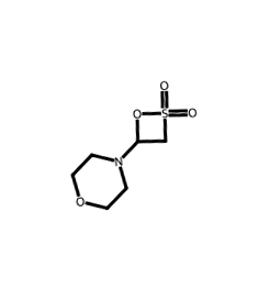 O=S1(=O)CC(N2CCOCC2)O1